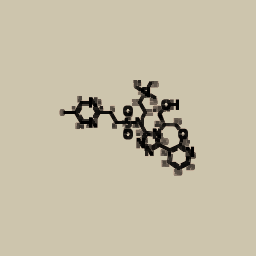 Cc1cnc(CCS(=O)(=O)N(CC[Si](C)(C)C)c2nnc3n2[C@@H](CO)COc2ncccc2-3)nc1